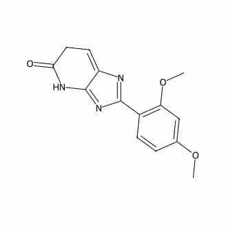 COc1ccc(C2=NC3=CCC(=O)NC3=N2)c(OC)c1